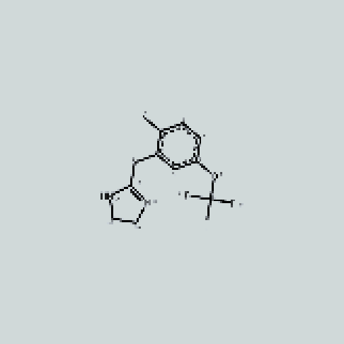 Cc1ccc(OC(F)(F)F)cc1CC1=NCCN1